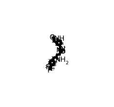 NC(CCc1nc(-c2ccc3c(c2)CC(=O)N3)no1)Cc1ccc(C(F)(F)F)cc1